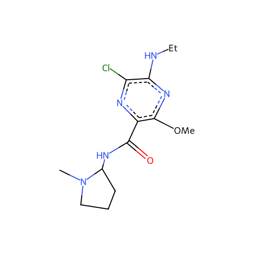 CCNc1nc(OC)c(C(=O)NC2CCCN2C)nc1Cl